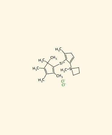 CC1=[C]([Ti+2][C]2=C(C)C(C)=C(C)C2(C)C)C([Si]2(C)CCC2)=CC1.[Cl-].[Cl-]